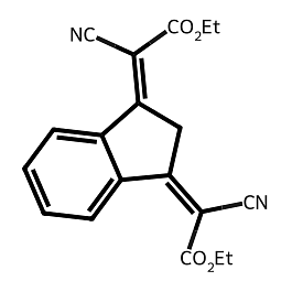 CCOC(=O)/C(C#N)=C1/C/C(=C(/C#N)C(=O)OCC)c2ccccc21